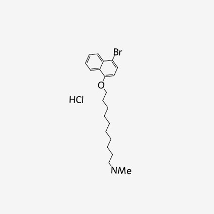 CNCCCCCCCCCCOc1ccc(Br)c2ccccc12.Cl